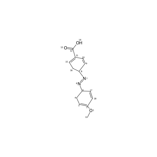 COC1=CCC(N=NC2C=CC(C(=O)O)=CC2)C=C1